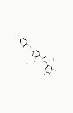 COc1cc(OCc2ccc(Br)cc2F)ccc1-c1c[nH]c(-c2cc(Cl)cc(Cl)c2)n1